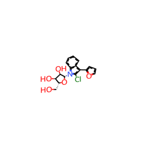 OC[C@H]1O[C@@H](n2c(Cl)c(-c3ccco3)c3ccccc32)[C@H](O)[C@@H]1O